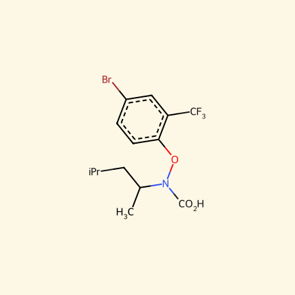 CC(C)CC(C)N(Oc1ccc(Br)cc1C(F)(F)F)C(=O)O